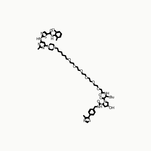 Cc1nc(Nc2ncc(C(=O)Nc3c(C)cccc3Cl)s2)cc(N2CCN(CCCCCCOCCOCCOCCOCCOCCOCC(=O)NC(C(=O)N3C[C@H](O)C[C@H]3C(=O)NCc3ccc(-c4scnc4C)cc3)C(C)(C)C)CC2)n1